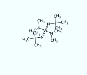 C[N](C)[W](=[N]C(C)(C)C)(=[N]C(C)(C)C)[N](C)C